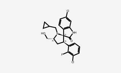 O=C1Nc2cc(Cl)ccc2[C@@]12[C@@H](c1cccc(Cl)c1F)C[C@H](CO)N2CC1CC1